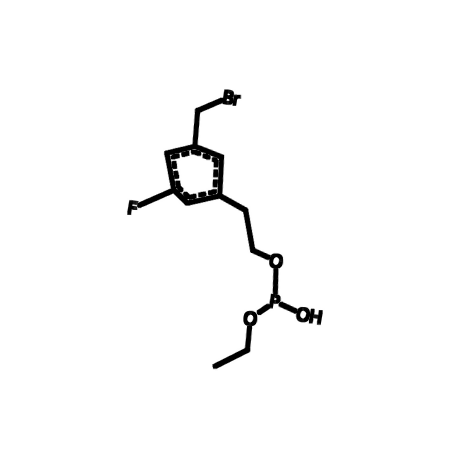 CCOP(O)OCCc1cc(F)cc(CBr)c1